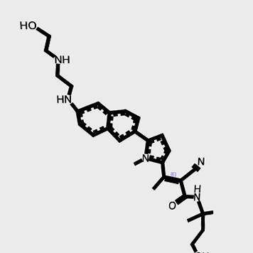 C/C(=C(/C#N)C(=O)NC(C)(C)CCO)c1ccc(-c2ccc3cc(NCCNCCO)ccc3c2)n1C